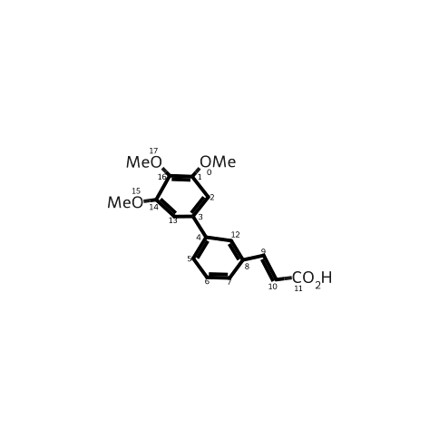 COc1cc(-c2cccc(C=CC(=O)O)c2)cc(OC)c1OC